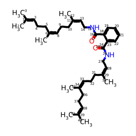 CC(C)=CCCC(C)=CCCC(C)=CCNC(=O)c1ccccc1C(=O)NCC=C(C)CCC=C(C)CCC=C(C)C